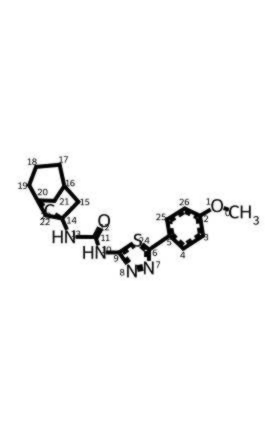 COc1ccc(-c2nnc(NC(=O)NC34CC5CCCC(C5)(C3)C4)s2)cc1